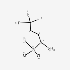 FC(F)(F)CCN([SiH3])[Si](Cl)(Cl)Cl